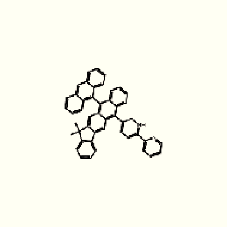 CC1(C)c2ccccc2-c2cc3c(C4=CC=C(c5ccccn5)NC4)c4ccccc4c(-c4c5ccccc5cc5ccccc45)c3cc21